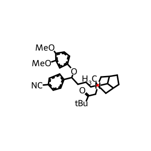 COc1ccc(OC(CCCN2CC3CCC(C2)C3N(C)CC(=O)C(C)(C)C)c2ccc(C#N)cc2)cc1OC